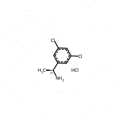 C[C@H](N)c1cc(Cl)cc(Cl)c1.Cl